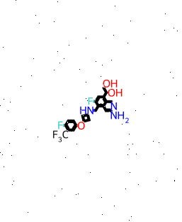 Nc1cc2c(CNC3CC(Oc4ccc(F)c(C(F)(F)F)c4)C3)c(F)cc([C@@H](O)CO)c2cn1